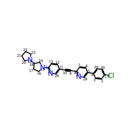 Clc1ccc(-c2ccc(C#Cc3ccc(N4CCC(N5CCCC5)C4)nc3)nc2)cc1